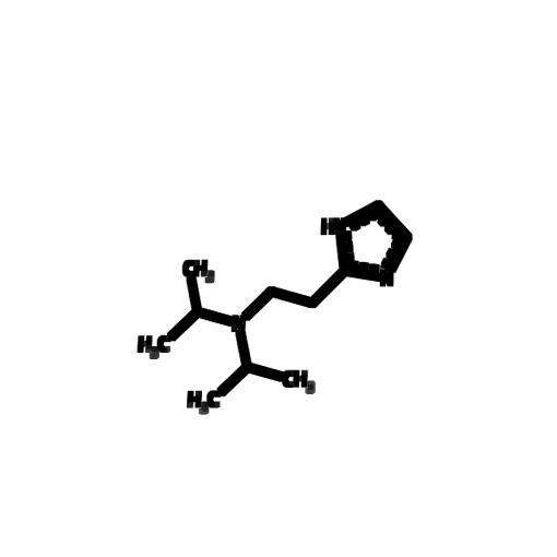 CC(C)N(CCc1ncc[nH]1)C(C)C